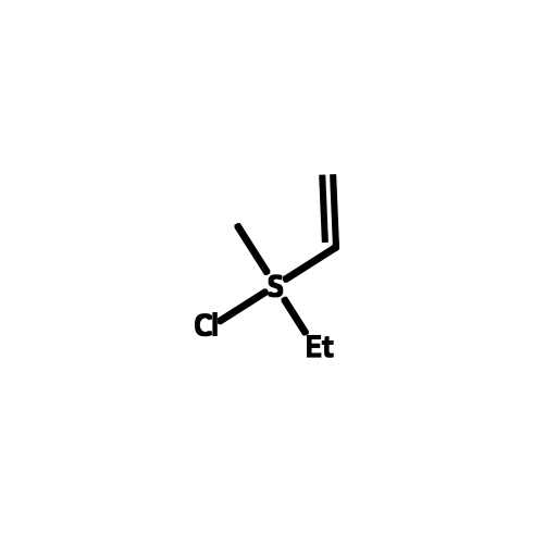 C=CS(C)(Cl)CC